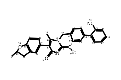 CCOc1nc(=O)c(-c2ccc3c(c2)CC(C)O3)c(C)n1Cc1ccc(-c2ccccc2C#N)cc1